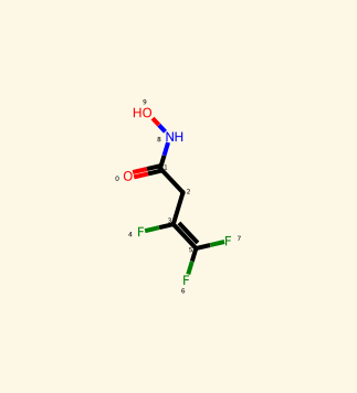 O=C(CC(F)=C(F)F)NO